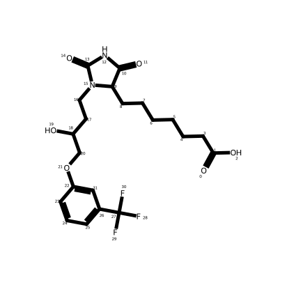 O=C(O)CCCCCCC1C(=O)NC(=O)N1CCC(O)COc1cccc(C(F)(F)F)c1